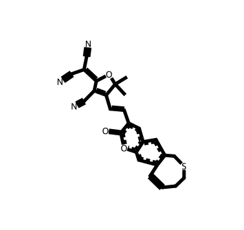 CC1(C)OC(=C(C#N)C#N)C(C#N)=C1/C=C/c1cc2cc3c(cc2oc1=O)C#CCCSC3